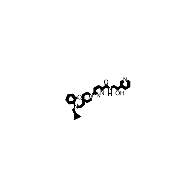 O=C(NCC(O)c1cccnc1)c1ccc(N2CCC3(CC2)CCN(CC2CC2)c2ccccc2O3)nn1